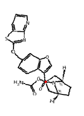 NC(=O)ON1C[C@H]2CC[C@@H](C1)N2C(=O)c1coc2cc(Oc3nc4ncccc4s3)ccc12